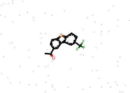 CC(=O)c1ccc2sc3ccc(C(F)(F)F)cc3c2c1